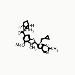 COc1cc(C(=O)N2C[C@H]3CC[C@@H]2[C@@H]3N)cc2nc(-c3cc4cnc(C)nc4n3CC3CC3)n(C)c12